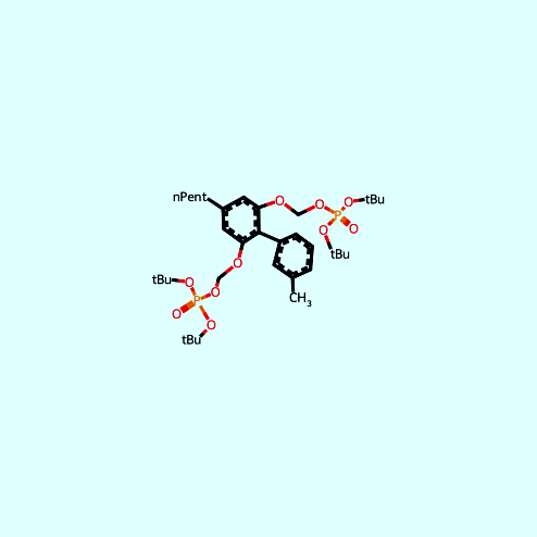 CCCCCc1cc(OCOP(=O)(OC(C)(C)C)OC(C)(C)C)c(-c2cccc(C)c2)c(OCOP(=O)(OC(C)(C)C)OC(C)(C)C)c1